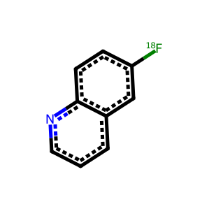 [18F]c1ccc2ncccc2c1